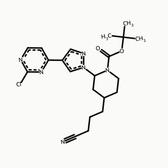 CC(C)(C)OC(=O)N1CCC(CCCC#N)CC1n1cc(-c2ccnc(Cl)n2)cn1